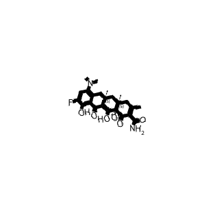 CC1=C(C(N)=O)C(=O)[C@@]2(O)C(O)=C3C(=O)c4c(O)c(F)cc(N(C)C)c4C[C@@]3(C)C[C@@]2(C)C1